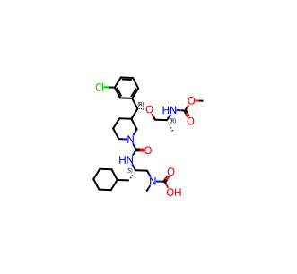 COC(=O)N[C@H](C)CO[C@@H](c1cccc(Cl)c1)C1CCCN(C(=O)N[C@@H](CC2CCCCC2)CN(C)C(=O)O)C1